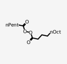 CCCCCCCCCCCC(=O)OOC(=O)CCCCC